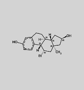 CC[C@H]1C[C@]2(C)C[C@H](O)C[C@H]2[C@@H]2CCc3cc(O)ccc3[C@@H]12